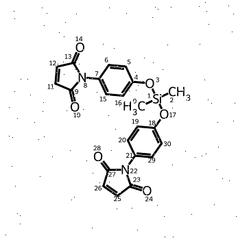 C[Si](C)(Oc1ccc(N2C(=O)C=CC2=O)cc1)Oc1ccc(N2C(=O)C=CC2=O)cc1